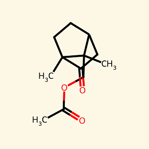 CC(=O)OCC1(C)C2CCC1(C)C(=O)C2